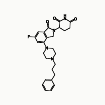 O=C1CCC(N2Cc3c(cc(F)cc3N3CCN(CCCc4ccccc4)CC3)C2=O)C(=O)N1